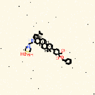 C=C(C)[C@@H]1CC[C@]2(NCCN3CCS(O)(O)CC3)CC[C@]3(C)[C@H](CC[C@@H]4[C@@]5(C)CC=C(C6=CCC(CO)(C(=O)OCc7ccccc7)CC6)C(C)(C)[C@@H]5CC[C@]43C)[C@@H]12